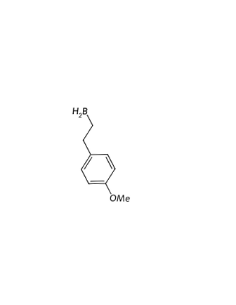 BCCc1ccc(OC)cc1